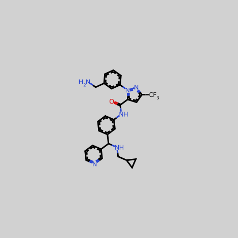 NCc1cccc(-n2nc(C(F)(F)F)cc2C(=O)Nc2cccc(C(NCC3CC3)c3cccnc3)c2)c1